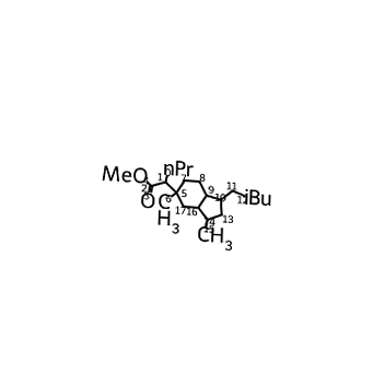 CCCC(C(=O)OC)C1(C)CCC2C(CC(C)CC)CC(C)C2C1